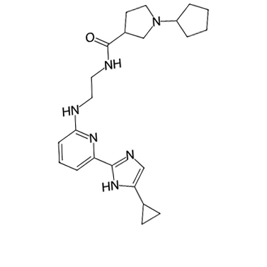 O=C(NCCNc1cccc(-c2ncc(C3CC3)[nH]2)n1)C1CCN(C2CCCC2)C1